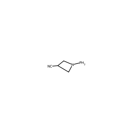 N#CC1CN(P)C1